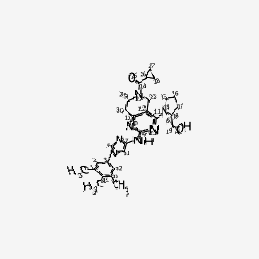 Cc1cc(-n2cnc(Nc3nc4c(c(N5CCC[C@H]5CO)n3)CN(C(=O)C3CC3)CC4)c2)cc(C)c1C